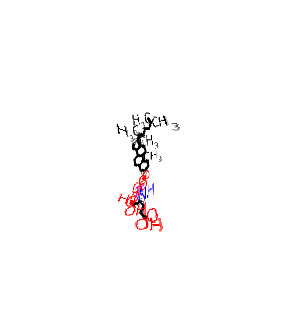 CC(C)CCC[C@@H](C)[C@H]1CCC2C3CCC4C[C@@H](OOOP(=O)(O)N[C@@H](CCC(=O)O)C(=O)O)CC[C@]4(C)C3CC[C@@]21C